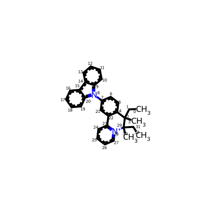 CCC1(C)c2ccc(-n3c4ccccc4c4ccccc43)cc2-c2cccc[n+]2C1(C)CC